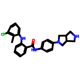 Cc1c(Cl)cccc1Nc1ccccc1C(=O)Nc1ccc(N2CC3CNCC3C2)cc1